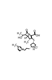 C[C@@H](O)[C@H]1C(=O)N2C(C(=O)O)=C(S[C@@H]3CN[C@H](CCC[n+]4ccn(C)c4)C3)[C@H](C)[C@H]12.[Cl-]